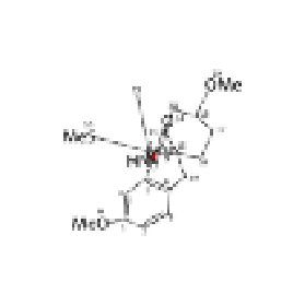 COc1ccc2c(c1)C1(NC(SC)N(C)C1=O)C1(CCC(OC)CC1)C2